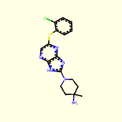 CC1(N)CCN(c2nc3nc(Sc4ccccc4Cl)cnc3[nH]2)CC1